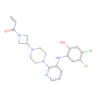 C=CC(=O)N1CC(N2CCN(c3ncccc3Nc3cc(Cl)c(Cl)cc3O)CC2)C1